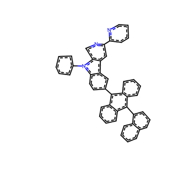 c1ccc(-n2c3ccc(-c4c5ccccc5c(-c5cccc6ccccc56)c5ccccc45)cc3c3cc(-c4ccccn4)ncc32)cc1